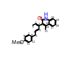 C/C=C(\C=C\Cc1ccc(OC)cc1)c1c(C)c2ccccc2[nH]c1=O